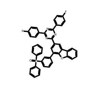 O=P(c1ccccc1)(c1ccccc1)c1cccc(-c2cc(-c3nc(-c4ccc(F)cc4)nc(-c4ccc(F)cc4)n3)cc3c2oc2ccccc23)c1